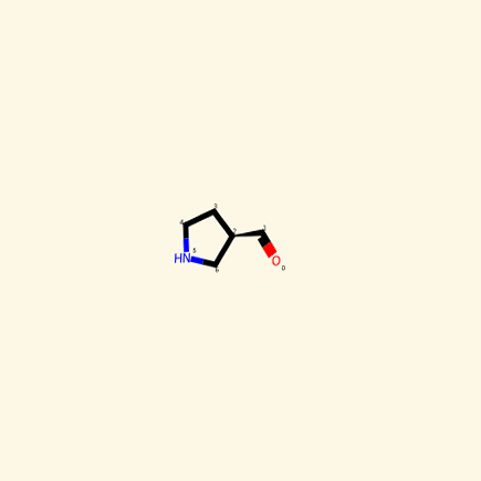 O=C[C@@H]1CCNC1